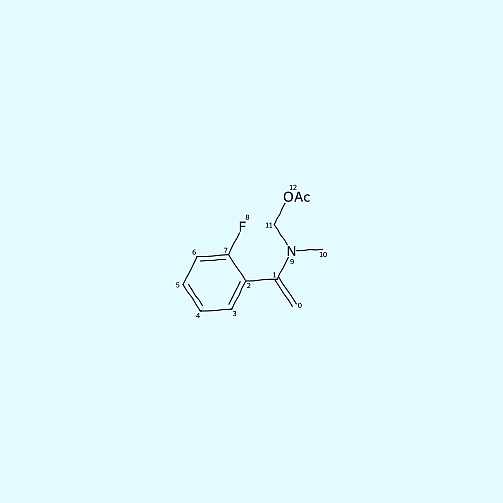 C=C(c1ccccc1F)N(C)COC(C)=O